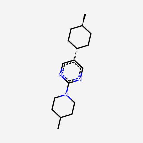 CC1CCN(c2ncc([C@H]3CC[C@H](C)CC3)cn2)CC1